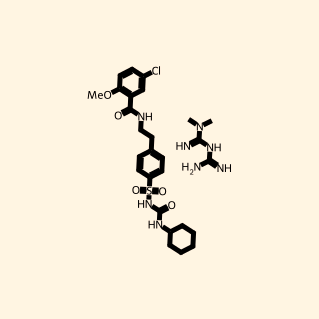 CN(C)C(=N)NC(=N)N.COc1ccc(Cl)cc1C(=O)NCCc1ccc(S(=O)(=O)NC(=O)NC2CCCCC2)cc1